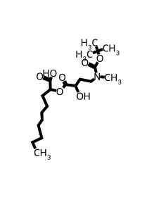 CCCCCCCCC(OC(=O)C(O)CCN(C)C(=O)OC(C)(C)C)C(=O)O